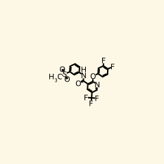 CS(=O)(=O)c1cccc(NC(=O)c2cc(C(F)(F)F)cnc2Oc2ccc(F)c(F)c2)c1